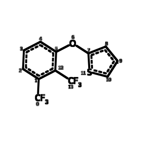 FC(F)(F)c1cccc(Oc2c[c]cs2)c1C(F)(F)F